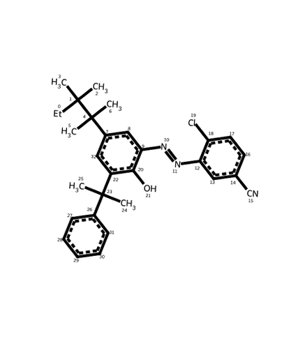 CCC(C)(C)C(C)(C)c1cc(N=Nc2cc(C#N)ccc2Cl)c(O)c(C(C)(C)c2ccccc2)c1